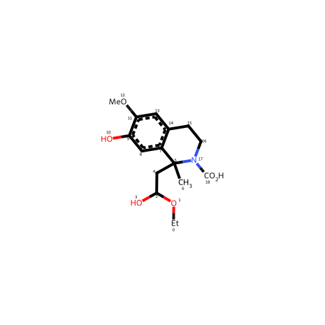 CCOC(O)CC1(C)c2cc(O)c(OC)cc2CCN1C(=O)O